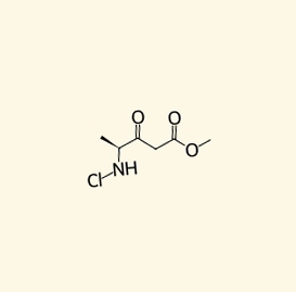 COC(=O)CC(=O)[C@H](C)NCl